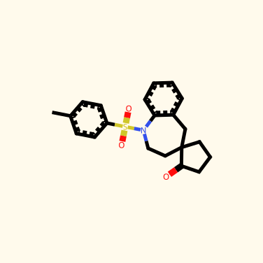 Cc1ccc(S(=O)(=O)N2CCC3(CCCC3=O)Cc3ccccc32)cc1